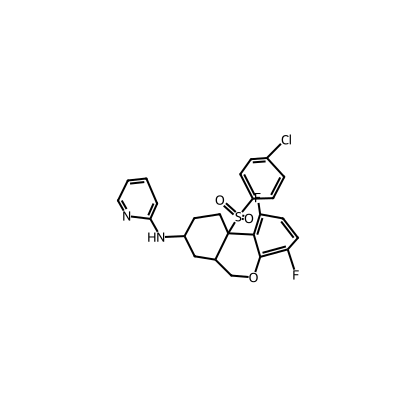 O=S(=O)(c1ccc(Cl)cc1)C12CCC(Nc3ccccn3)CC1COc1c(F)ccc(F)c12